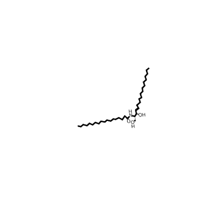 CCCCCCCCCCCCCC/C=C/[C@@H](O)[C@H](CO)NC(=O)CCCCCCCCCCCCCCCCC